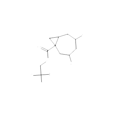 CC1CC(C)CC2(C(=O)OCC(F)(F)S(=O)(=O)O)CC2C1